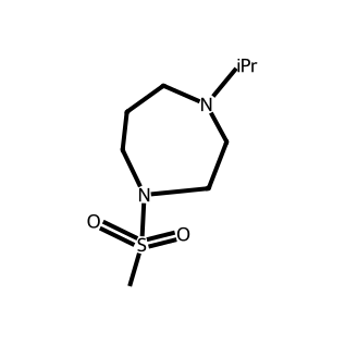 CC(C)N1CCCN(S(C)(=O)=O)CC1